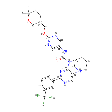 CC1(C)CC[C@@H](COc2ncc(NC(=O)N3c4nc(-c5cccc(C(F)(F)F)c5)ncc4N4CCCC3C4)cn2)CO1